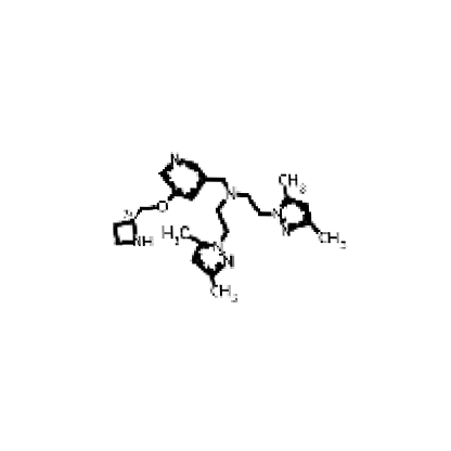 Cc1cc(C)n(CCN(CCn2nc(C)cc2C)Cc2cncc(OC[C@@H]3CCN3)c2)n1